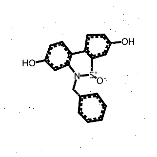 [O-][S+]1c2cc(O)ccc2-c2ccc(O)cc2N1Cc1ccccc1